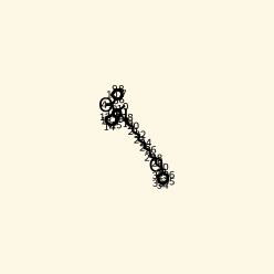 Cc1c(C(=O)c2ccccc2)c2ccccc2n1CCCCCCCCCCCOCc1ccccc1